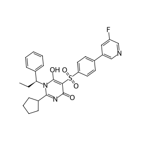 CC[C@@H](c1ccccc1)n1c(C2CCCC2)nc(=O)c(S(=O)(=O)c2ccc(-c3cncc(F)c3)cc2)c1O